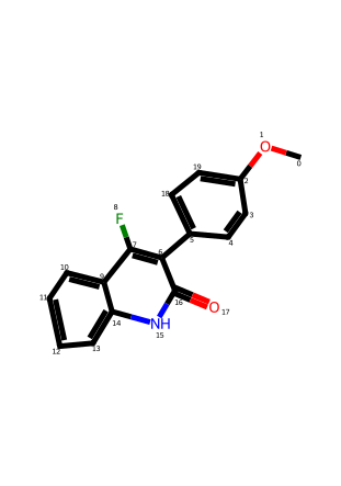 COc1ccc(-c2c(F)c3ccccc3[nH]c2=O)cc1